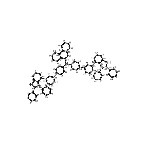 c1ccc(-c2nc3cccc(-c4cccc(-c5ccc(N(c6ccc(-c7cccc(-c8cccc9c8N(c8ccccc8)C(c8ccccc8)N9)c7)cc6)c6cc7ccccc7c7ccccc67)cc5)c4)c3n2-c2ccccc2)cc1